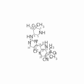 CC1(C)CNCC(Nc2ncc(C(F)(F)F)c(-c3c[nH]c4c(P(C)(C)=O)c(C#N)ccc34)n2)C1